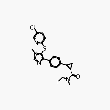 CN(CI)C(=O)[C@H]1CC1c1ccc(-c2ncn(C)c2Sc2ccc(Cl)cn2)cc1